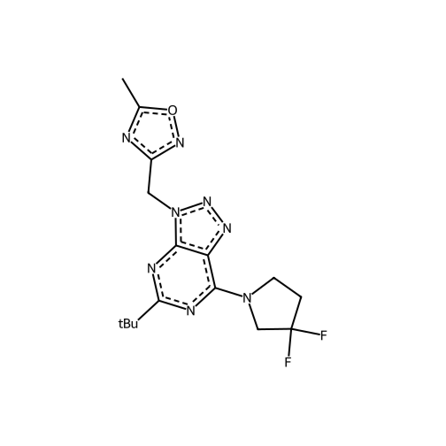 Cc1nc(Cn2nnc3c(N4CCC(F)(F)C4)nc(C(C)(C)C)nc32)no1